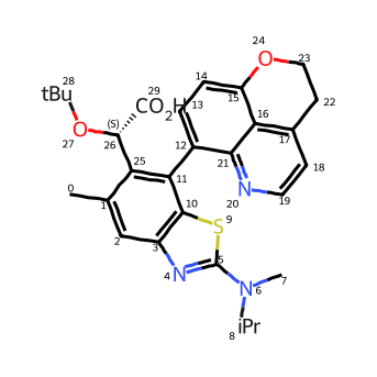 Cc1cc2nc(N(C)C(C)C)sc2c(-c2ccc3c4c(ccnc24)CCO3)c1[C@H](OC(C)(C)C)C(=O)O